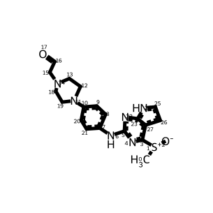 C[S+]([O-])c1nc(Nc2ccc(N3CCN(CC=O)CC3)cc2)nc2[nH]ccc12